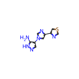 Nc1[nH]ncc1-n1cnc(-c2cscn2)c1